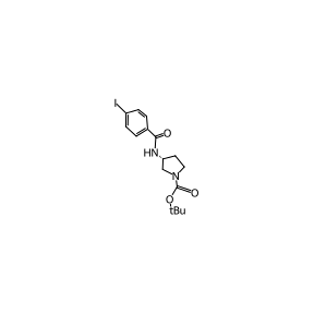 CC(C)(C)OC(=O)N1CC[C@@H](NC(=O)c2ccc(I)cc2)C1